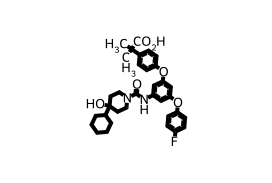 CC(C)(C(=O)O)c1ccc(Oc2cc(NC(=O)N3CCC(O)(C4CCCCC4)CC3)cc(Oc3ccc(F)cc3)c2)cc1